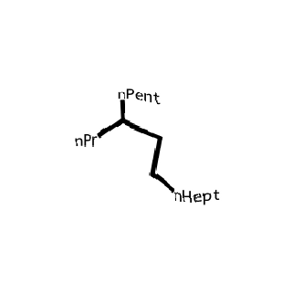 [CH2]CCCCC(CCC)CCCCCCCCC